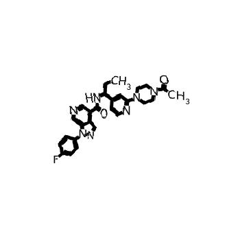 CCC(NC(=O)c1cncc2c1cnn2-c1ccc(F)cc1)c1ccnc(N2CCN(C(C)=O)CC2)c1